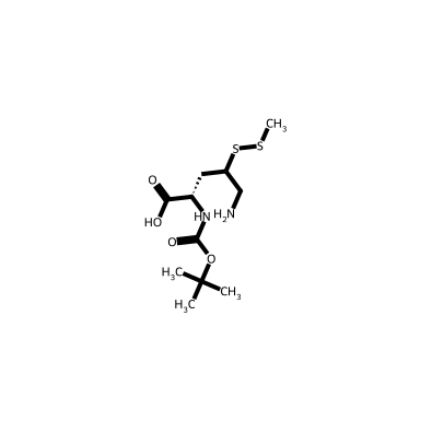 CSSC(CN)C[C@H](NC(=O)OC(C)(C)C)C(=O)O